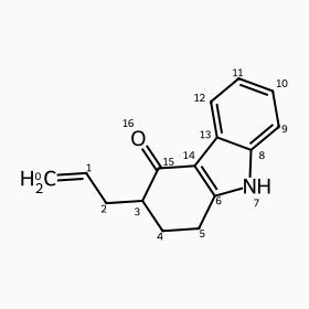 C=CCC1CCc2[nH]c3ccccc3c2C1=O